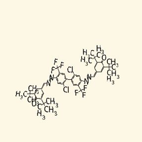 CC(C)(C)C1=CC(=C/N=N/c2cc(Cl)c(-c3cc(C(F)(F)F)c(/N=N/C=C4C=C(C(C)(C)C)C(=O)C(C(C)(C)C)=C4)cc3Cl)cc2C(F)(F)F)C=C(C(C)(C)C)C1=O